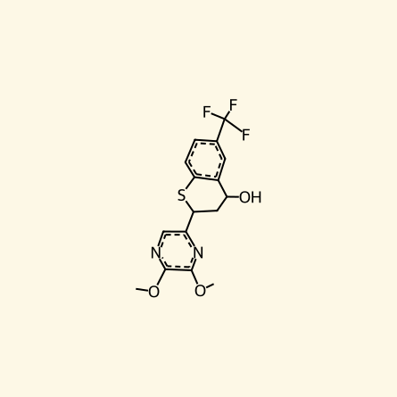 COc1ncc(C2CC(O)c3cc(C(F)(F)F)ccc3S2)nc1OC